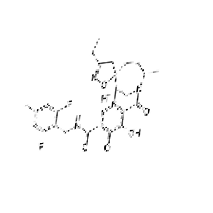 CCC1=NO[C@@]2(CC[C@H](C)N3C[C@H]2n2cc(C(=O)NCc4c(F)cc(C)cc4F)c(=O)c(O)c2C3=O)C1